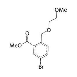 COCCOCc1ccc(Br)cc1C(=O)OC